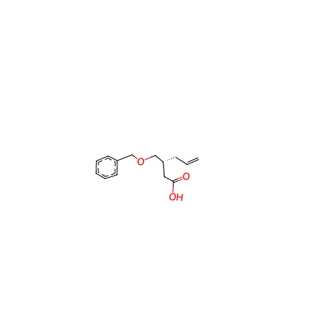 C=CC[C@@H](COCc1ccccc1)CC(=O)O